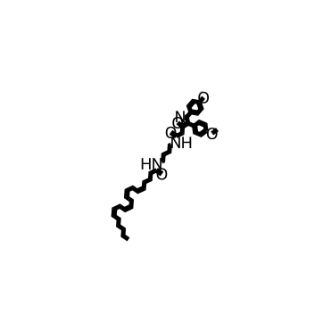 CCCCC/C=C\C/C=C\C/C=C\C/C=C\CCCC(=O)NCCCCNC(=O)Cc1onc(-c2ccc(OC)cc2)c1-c1ccc(OC)cc1